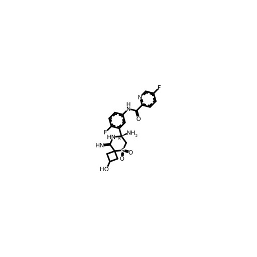 N=C1N[C@](N)(c2cc(NC(=O)c3ccc(F)cn3)ccc2F)CS(=O)(=O)C12CC(O)C2